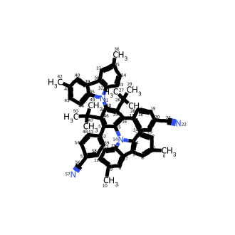 Cc1ccc2c(c1)c1cc(C)ccc1n2-c1c(-c2ccc(C#N)cc2)c(C(C)(C)C)c(-n2c3ccc(C)cc3c3cc(C)ccc32)c(C(C)(C)C)c1-c1ccc(C#N)cc1